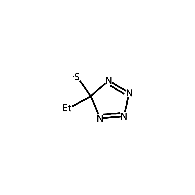 CCC1([S])N=NN=N1